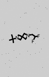 CC(C)(C)N1CC2(CN(CC(F)F)C2)C1